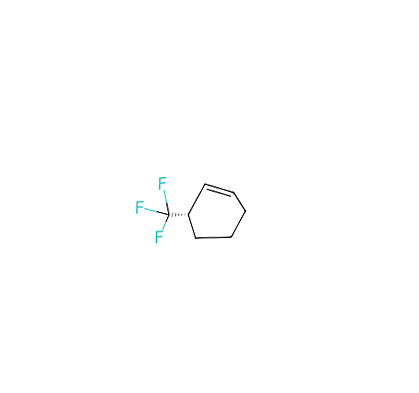 FC(F)(F)[C@@H]1C=CCCC1